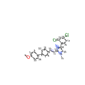 COc1ccc(-c2ccc(/C=C/c3nc(-c4ccc(Cl)cc4Cl)cn3C)cc2)cc1